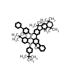 CC(C)(C)c1ccc(N2c3ccc(C(C)(C)C)cc3B3c4c(cc5c(oc6ccccc65)c42)-c2cc4c(cc2N3c2ccc(-c3ccccc3)cc2)C(C)(C)c2cc3c(cc2-4)C(C)(C)CCC3(C)C)cc1